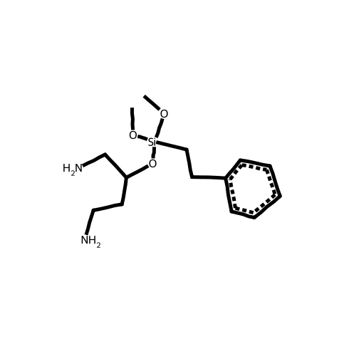 CO[Si](CCc1ccccc1)(OC)OC(CN)CCN